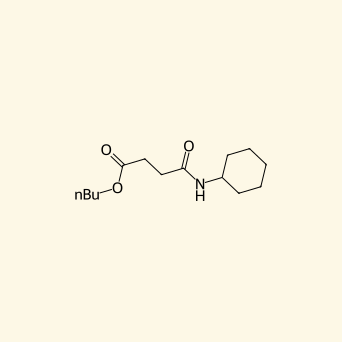 CCCCOC(=O)CCC(=O)NC1CCCCC1